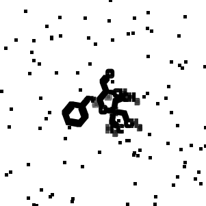 CC[Si](CC)(CC)O[C@H](Cc1ccccc1)[C@H](C)C=O